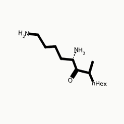 CCCCCCC(C)C(=O)[C@@H](N)CCCCN